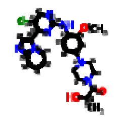 COc1cc(N2CCN(C(=O)[C@H](C)O)CC2)ccc1Nc1ncc(Cl)c(-c2cnc3ccccn23)n1